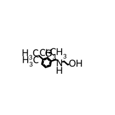 COc1c(CNCCO)cccc1C(C)(C)C